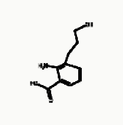 Nc1c(CCCO)cccc1C(=O)O